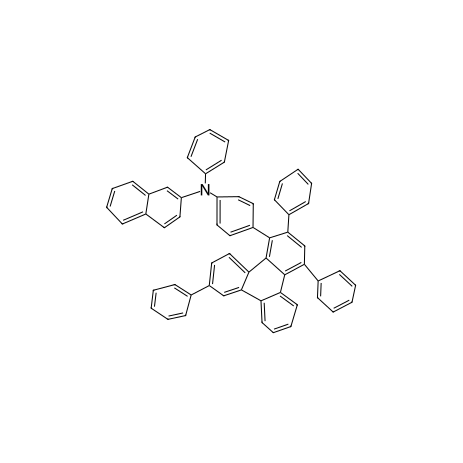 c1ccc(-c2ccc3c(c2)c2ccccc2c2c(-c4ccccc4)cc(-c4ccccc4)c(-c4ccc(N(c5ccccc5)c5ccc6ccccc6c5)cc4)c32)cc1